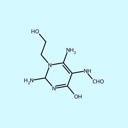 NC1=C(NC=O)C(O)=NC(N)N1CCO